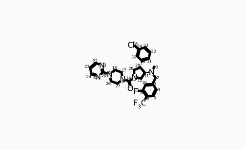 CN(Cc1ccc(C(F)(F)F)c(F)c1)[C@H]1CN(C(=O)N2CCN(c3ncccn3)CC2)C[C@@H]1c1cccc(Cl)c1